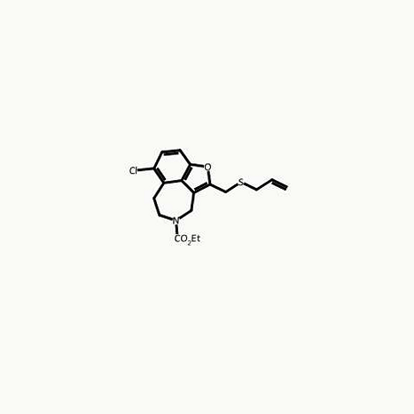 C=CCSCc1oc2ccc(Cl)c3c2c1CN(C(=O)OCC)CC3